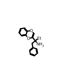 CCC(N)(Cc1ccccc1)C1=COc2ccccc2O1